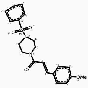 COc1ccc(/C=C/C(=O)N2CCN(S(=O)(=O)c3ccccc3)CC2)cc1